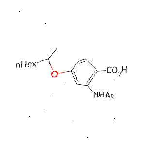 CCCCCCC(C)Oc1ccc(C(=O)O)c(NC(C)=O)c1